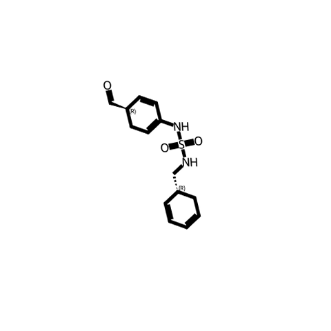 O=C[C@H]1C=CC(NS(=O)(=O)NC[C@H]2C=CC=CC2)=CC1